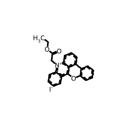 CCOC(=O)C[n+]1c2ccccc2c2c3c(cccc31)-c1ccccc1O2.[I-]